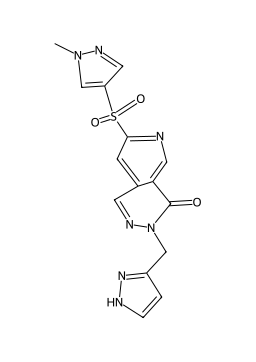 Cn1cc(S(=O)(=O)c2cc3cnn(Cc4cc[nH]n4)c(=O)c3cn2)cn1